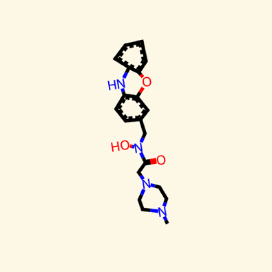 CN1CCN(CC(=O)N(O)Cc2ccc3c(c2)Oc2ccccc2N3)CC1